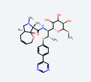 CSC1O[C@H]([C@H](NC(=O)[C@]2(C)[C@@H]3OCC=CC[C@H]3CN2C)[C@H](C)Sc2ccc(-c3cncnc3)cc2)C(O)C(O)[C@H]1O